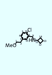 COCCc1ccc(Cl)c(CNC2CCC2)c1